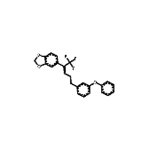 FC(F)(F)C(=CCCc1cccc(Oc2ccccc2)c1)c1ccc2c(c1)OCO2